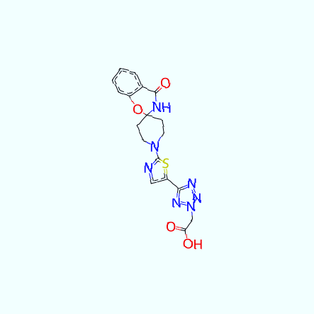 O=C(O)Cn1nnc(-c2cnc(N3CCC4(CC3)NC(=O)c3ccccc3O4)s2)n1